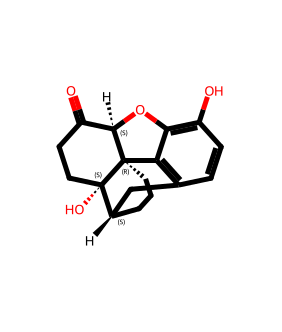 O=C1CC[C@]2(O)[C@H]3CCC[C@]24c2c(ccc(O)c2O[C@H]14)C3